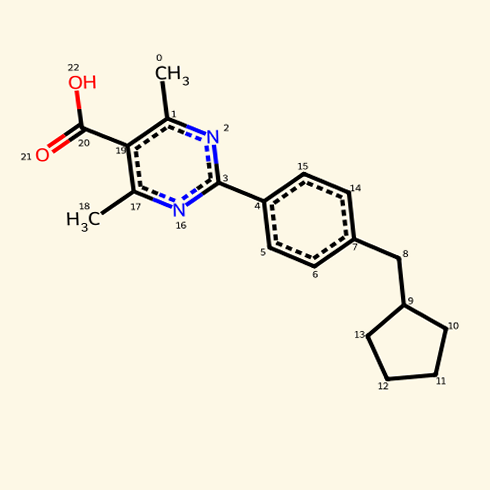 Cc1nc(-c2ccc(CC3CCCC3)cc2)nc(C)c1C(=O)O